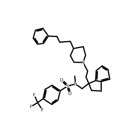 CN(CC1(CCN2CCC(CCCc3ccccc3)CC2)CCc2ccccc21)S(=O)(=O)c1ccc(C(F)(F)F)cc1